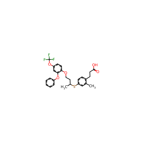 Cc1cc(SC(C)CCOc2ccc(OC(F)(F)F)cc2Oc2ccccc2)ccc1CCC(=O)O